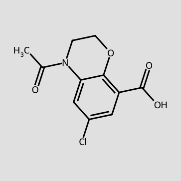 CC(=O)N1CCOc2c(C(=O)O)cc(Cl)cc21